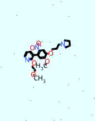 COCCOc1ncccc1-c1cc(OC)c(OCCCN2CCCC2)cc1[N+](=O)[O-]